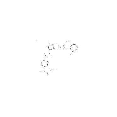 CCOC(=O)n1nc(NC(=O)c2ccc3c(c2)N(CC)C(=O)C3(C)C)c2c1CN(C(=O)Nc1c(CC)cccc1CC)C2